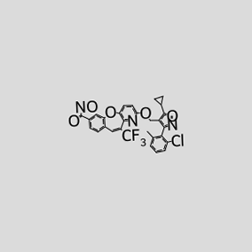 Cc1cccc(Cl)c1-c1noc(C2CC2)c1COc1ccc2c(n1)C(C(F)(F)F)=Cc1ccc(C(=O)N=O)cc1O2